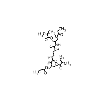 C=CC(=O)OCC(COC(=O)C(=C)C)NC(=O)NCCNC(=O)NC(COC(=O)C=C)COC(=O)C(=C)C